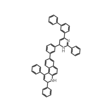 C1=C(c2cccc(-c3ccccc3)c2)N=C(c2ccccc2)NC1c1cccc(-c2ccc3c4c(ccc3c2)NC(c2ccccc2)C=C4c2ccccc2)c1